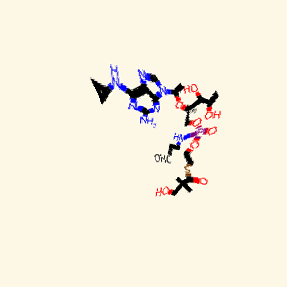 CC(O)C(O)[C@@H](COP(=O)(NCCC=O)OCCSC(=O)C(C)(C)CO)OC(C)n1cnc2c(NC3CC3)nc(N)nc21